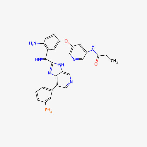 CCC(=O)Nc1cncc(Oc2ccc(N)c(C(=N)c3nc4c(-c5cccc(P)c5)cncc4[nH]3)c2)c1